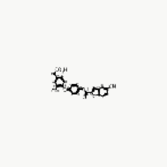 N#Cc1ccc2oc(C(=O)Nc3ccc(Oc4ccc(CC(=O)O)cc4Cl)cc3)cc2c1